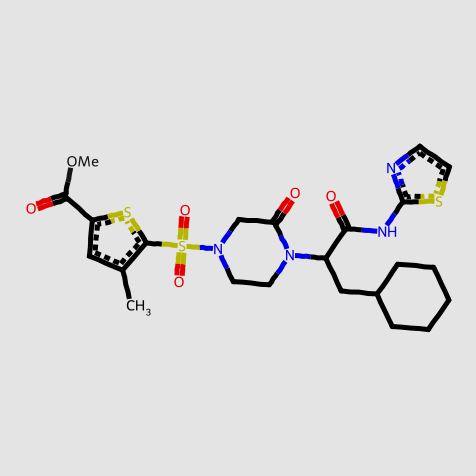 COC(=O)c1cc(C)c(S(=O)(=O)N2CCN(C(CC3CCCCC3)C(=O)Nc3nccs3)C(=O)C2)s1